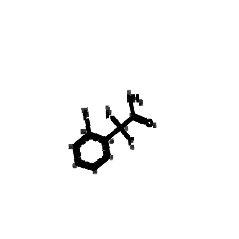 NC(=O)C(F)(F)c1ccccc1F